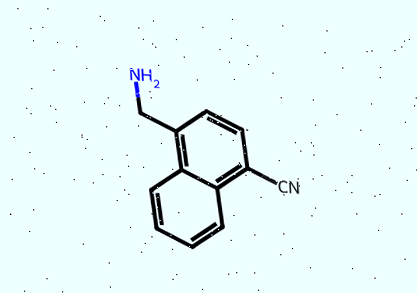 N#Cc1[c]cc(CN)c2ccccc12